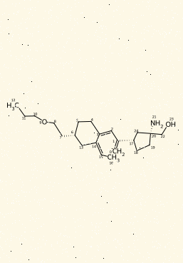 C=C(/C=C1/CC[C@@H](CCOCCC)C/C1=C/C)[C@H]1CC[C@](N)(CO)C1